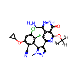 [2H]C([2H])([2H])Oc1nc(-c2cnn(C)c2-c2c(F)c(Cl)cc(OC3CC3)c2C#N)cc2c(CN)n[nH]c(=O)c12